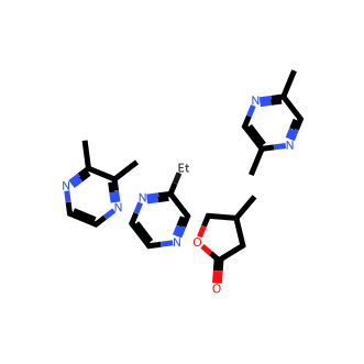 CC1COC(=O)C1.CCc1cnccn1.Cc1cnc(C)cn1.Cc1nccnc1C